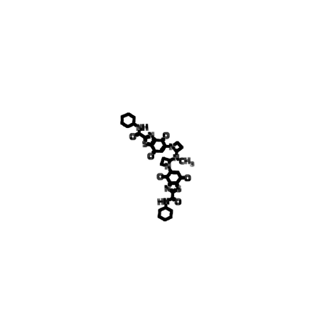 CN(C1CCN1C1=CC(=O)c2sc(C(=O)NC3CCCCC3)nc2C1=O)C1CCN1C1=CC(=O)c2sc(C(=O)NC3CCCCC3)nc2C1=O